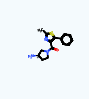 Cc1nc(C(=O)N2CC[C@@H](N)C2)c(-c2ccccc2)s1